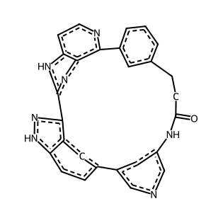 O=C1CCc2cccc(c2)-c2nccc3[nH]c(nc23)-c2n[nH]c3ccc(cc23)-c2cncc(c2)N1